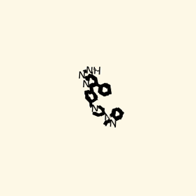 Cc1nc2ccccc2n1C1CCN(Cc2ccc(-c3nc4nc[nH]c4cc3-c3ccccc3)cc2)CC1